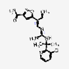 C=C/C(=C\N=C(/N)NC(C)(C)c1ncccc1Cl)c1cc(C(N)=O)no1